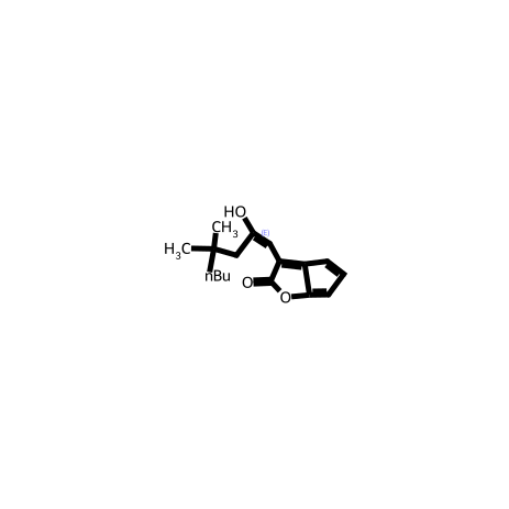 CCCCC(C)(C)C/C(O)=C\C1=C2C=CC=C2OC1=O